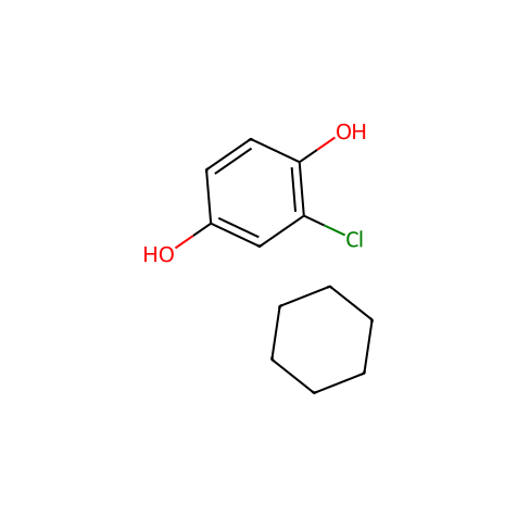 C1CCCCC1.Oc1ccc(O)c(Cl)c1